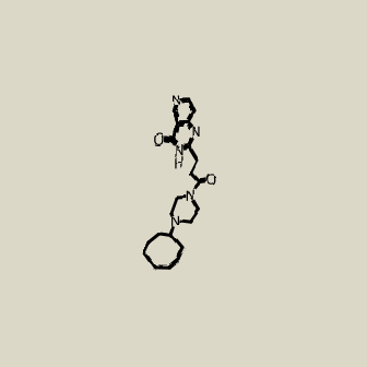 O=C(CCc1nc2ccncc2c(=O)[nH]1)N1CCN(C2CCCCCCC2)CC1